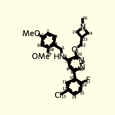 COc1ccc(CNc2cc(-c3cc(Cl)ccc3F)nnc2OCC2CN(C)C2)c(OC)c1